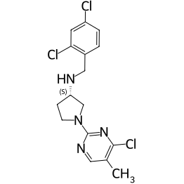 Cc1cnc(N2CC[C@H](NCc3ccc(Cl)cc3Cl)C2)nc1Cl